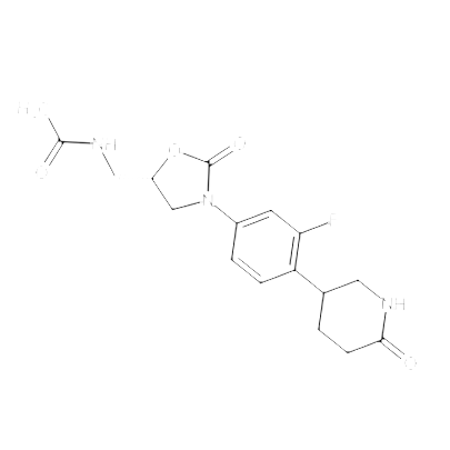 CC(=O)NC[C@H]1CN(c2ccc(C3CCC(=O)NC3)c(F)c2)C(=O)O1